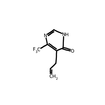 C=CCc1c(C(F)(F)F)nc[nH]c1=O